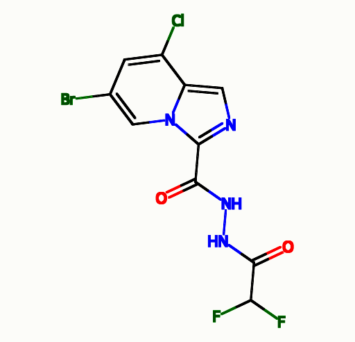 O=C(NNC(=O)C(F)F)c1ncc2c(Cl)cc(Br)cn12